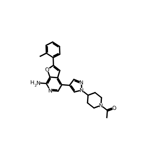 CC(=O)N1CCC(n2cc(-c3cnc(N)c4oc(-c5ccccc5C)cc34)cn2)CC1